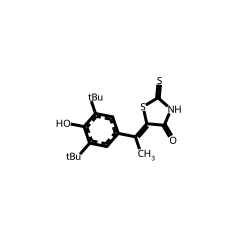 CC(=C1SC(=S)NC1=O)c1cc(C(C)(C)C)c(O)c(C(C)(C)C)c1